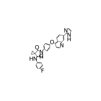 O=C(Nc1ccc(F)cc1)C1(C(=O)Nc2ccc(Oc3ccnc4cc(-c5ncc[nH]5)ccc34)cc2)CC1